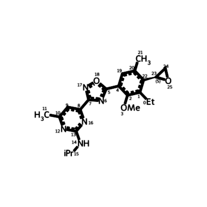 CCc1c(OC)c(-c2nc(-c3cc(C)nc(NC(C)C)n3)no2)cc(C)c1[C@H]1CO1